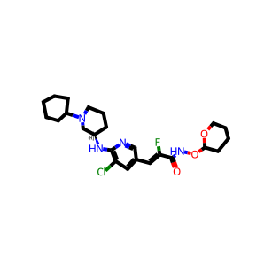 O=C(NOC1CCCCO1)C(F)=Cc1cnc(N[C@@H]2CCCN(C3CCCCC3)C2)c(Cl)c1